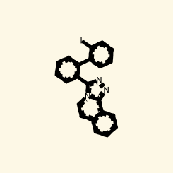 Ic1ccccc1-c1ccccc1-c1nnc2c3ccccc3ccn12